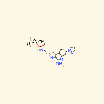 CC(C)(C)OC(=O)NCCn1cc2c(n1)c(N)nc1cc(-n3cccn3)ccc12